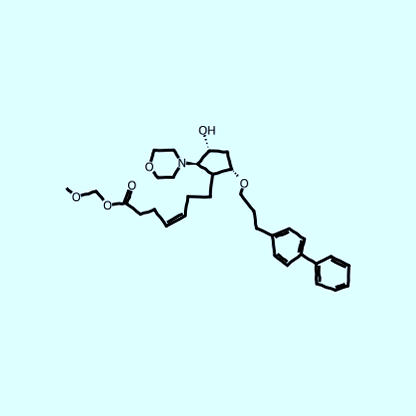 COCOC(=O)CC/C=C\CCC1[C@@H](OCCCc2ccc(-c3ccccc3)cc2)C[C@@H](O)[C@@H]1N1CCOCC1